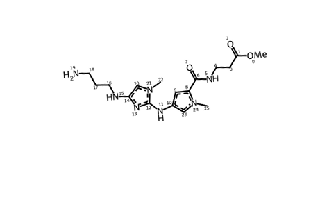 COC(=O)CCNC(=O)c1cc(Nc2nc(NCCCN)cn2C)cn1C